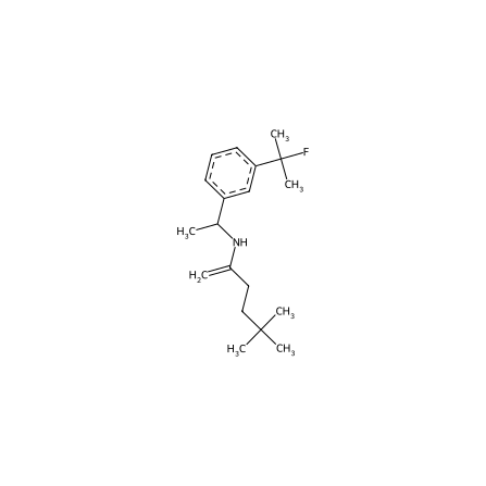 C=C(CCC(C)(C)C)NC(C)c1cccc(C(C)(C)F)c1